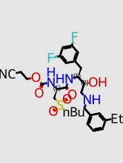 CCCCS(=O)(=O)C[C@@H](NC(=O)OCCC#N)C(=O)N[C@@H](Cc1cc(F)cc(F)c1)[C@H](O)CNCc1cccc(CC)c1